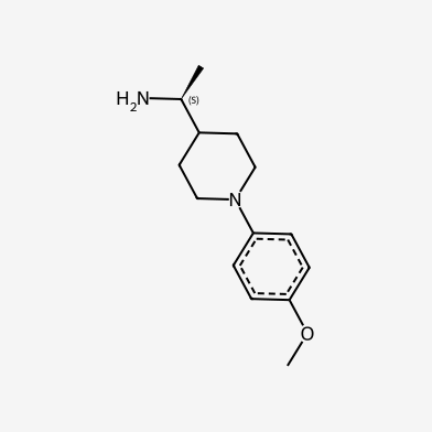 COc1ccc(N2CCC([C@H](C)N)CC2)cc1